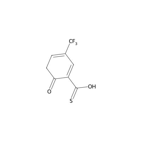 O=C1CC=C(C(F)(F)F)C=C1C(O)=S